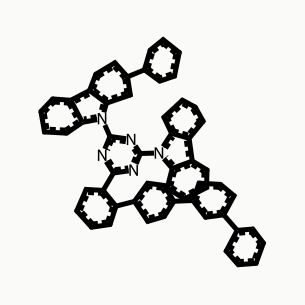 c1ccc(-c2cccc(-c3ccc(-c4ccccc4-c4nc(-n5c6ccccc6c6ccccc65)nc(-n5c6ccccc6c6ccc(-c7ccccc7)cc65)n4)cc3)c2)cc1